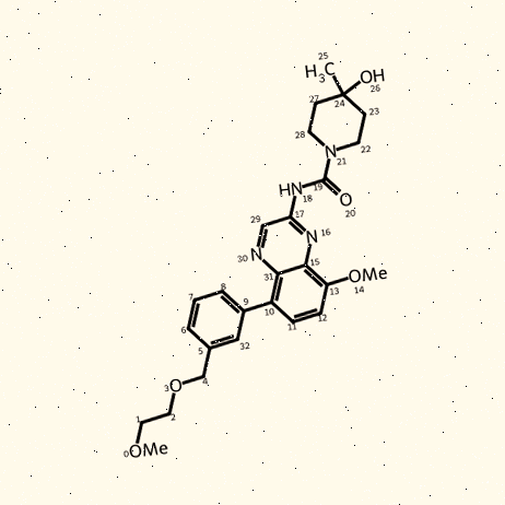 COCCOCc1cccc(-c2ccc(OC)c3nc(NC(=O)N4CCC(C)(O)CC4)cnc23)c1